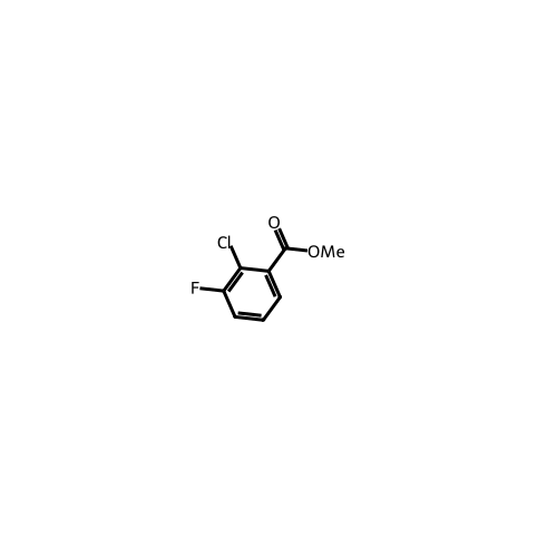 COC(=O)c1cccc(F)c1Cl